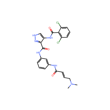 CN(C)CC=CC(=O)Nc1cccc(NC(=O)c2n[nH]cc2NC(=O)c2c(Cl)cccc2Cl)c1